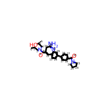 CCCN(C[C@H](C)O)C(=O)C1=Cc2ccc(-c3ccc(C(=O)N4CCCC4)cc3)cc2N=C(N)C1